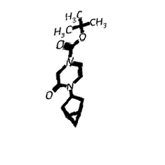 CC(C)(C)OC(=O)N1CCN(C2CC3CC3C2)C(=O)C1